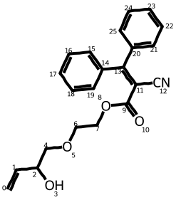 C=CC(O)COCCOC(=O)C(C#N)=C(c1ccccc1)c1ccccc1